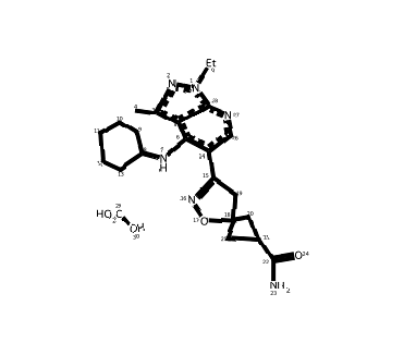 CCn1nc(C)c2c(NC3CCCCC3)c(C3=NOC4(C3)CC(C(N)=O)C4)cnc21.O=C(O)O